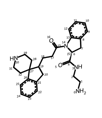 NCCNC(=O)[C@@H]1Cc2ccccc2N1C(=O)CCC1Cc2ccccc2C12CCNCC2